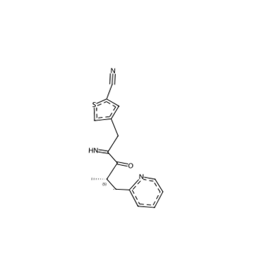 C[C@@H]([CH]c1ccccn1)C(=O)C(=N)Cc1csc(C#N)c1